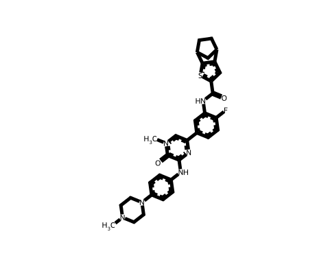 CN1CCN(c2ccc(Nc3nc(-c4ccc(F)c(NC(=O)c5cc6c(s5)C5CCC6C5)c4)cn(C)c3=O)cc2)CC1